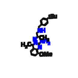 C=C1c2cccc(OC)c2N=C(N)N1/N=C(\C)CNCc1ccc(C(C)(C)C)cc1